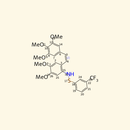 COc1cc(/C=C\c2cc(OC)c(OC)c(OC)c2)c(NSc2cccc(C(F)(F)F)c2)cc1OC